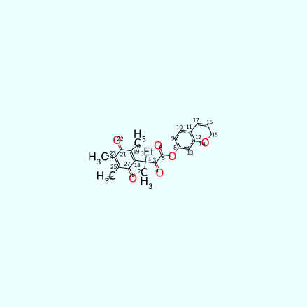 CCC(C)(C(=O)C(=O)Oc1ccc2c(c1)OCC=C2)C1=C(C)C(=O)C(C)=C(C)C1=O